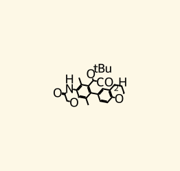 Cc1c2c(c(C)c(C(OC(C)(C)C)C(=O)O)c1-c1ccc3c(c1)CCCO3)NC(=O)CO2